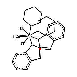 [SiH2]=[Zr]([Cl])([Cl])([CH]1CCCCC1)([CH]1CCCCC1)([CH]1C=Cc2ccccc21)[CH]1C=Cc2ccccc21